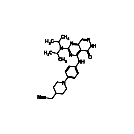 CC(C)N(c1nc(Nc2ccc(N3CCC(CC#N)CC3)cc2)c2c(=O)[nH]ncc2n1)C(C)C